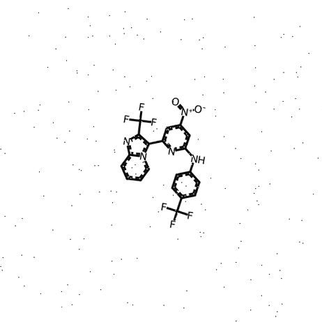 O=[N+]([O-])c1cc(Nc2ccc(C(F)(F)F)cc2)nc(-c2c(C(F)(F)F)nc3ccccn23)c1